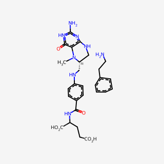 CN1c2c(nc(N)[nH]c2=O)NC[C@@H]1CNc1ccc(C(=O)NC(CCC(=O)O)C(=O)O)cc1.NCCc1ccccc1